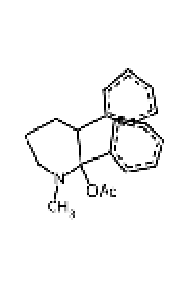 CC(=O)OC1(c2ccccc2)C(c2ccccc2)CCCN1C